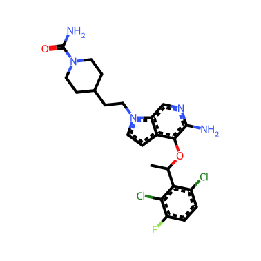 CC(Oc1c(N)ncc2c1ccn2CCC1CCN(C(N)=O)CC1)c1c(Cl)ccc(F)c1Cl